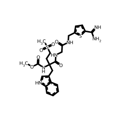 COC(=O)NC(CCS(C)(=O)=O)(Cc1c[nH]c2ccccc12)C(=O)NCC(=O)NCc1ccc(C(=N)N)s1